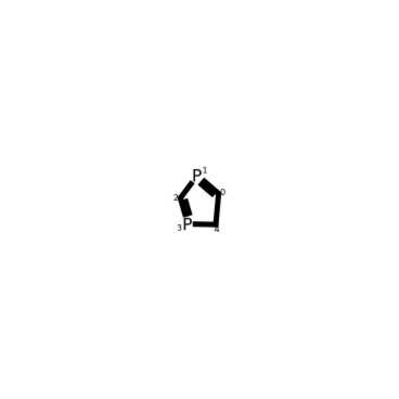 C1=PC=PC1